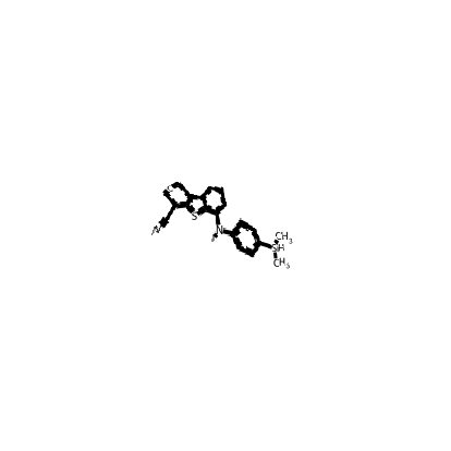 C[SiH](C)c1ccc(N(I)c2cccc3c2sc2c(C#N)cccc23)cc1